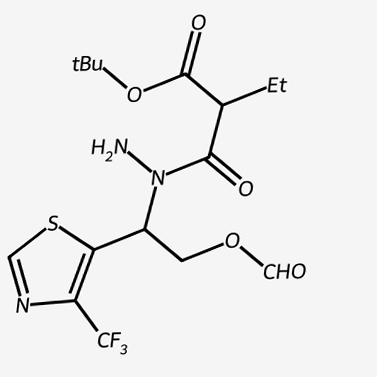 CCC(C(=O)OC(C)(C)C)C(=O)N(N)C(COC=O)c1scnc1C(F)(F)F